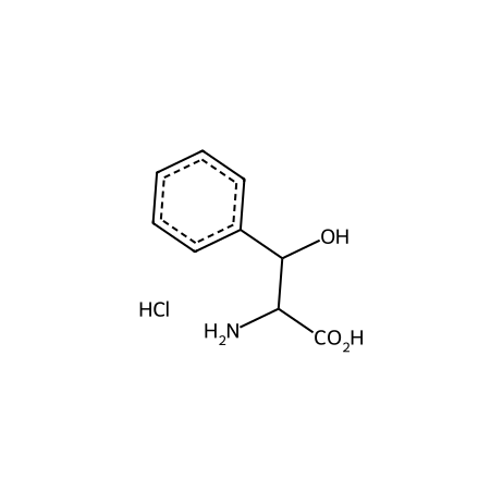 Cl.NC(C(=O)O)C(O)c1ccccc1